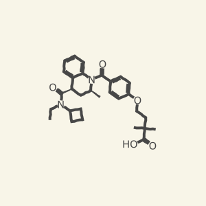 CCN(C(=O)[C@@H]1C[C@H](C)N(C(=O)c2ccc(OCCC(C)(C)C(=O)O)cc2)c2ccccc21)C1CCC1